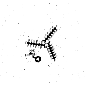 C[CH]([Sn]([CH](C)C(F)(F)C(F)(F)C(F)(F)C(F)(F)C(F)(F)C(F)(F)F)[CH](C)C(F)(F)C(F)(F)C(F)(F)C(F)(F)C(F)(F)C(F)(F)F)C(F)(F)C(F)(F)C(F)(F)C(F)(F)C(F)(F)C(F)(F)F.N=C([NH3+])NCc1ccccc1